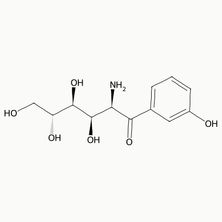 N[C@@H](C(=O)c1cccc(O)c1)[C@@H](O)[C@H](O)[C@H](O)CO